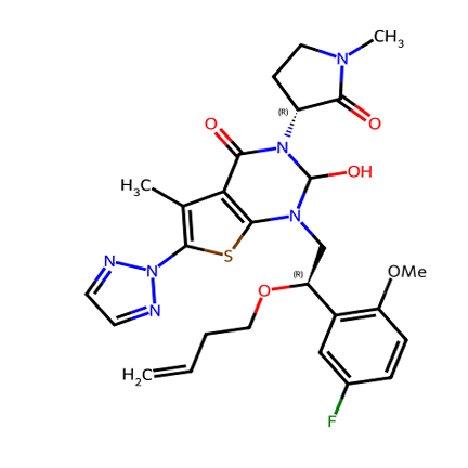 C=CCCO[C@@H](CN1c2sc(-n3nccn3)c(C)c2C(=O)N([C@@H]2CCN(C)C2=O)C1O)c1cc(F)ccc1OC